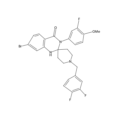 COc1ccc(N2C(=O)c3ccc(Br)cc3NC23CCN(Cc2ccc(F)c(F)c2)CC3)cc1F